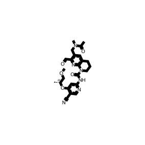 COC[C@@H](C)Oc1cc(NC(=O)N2CCCc3cc(CN(C)C(C)=O)c(C=O)nc32)ncc1C#N